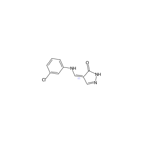 O=C1NN=C/C1=C/Nc1cccc(Cl)c1